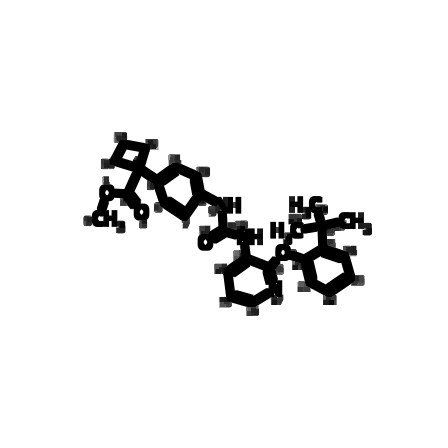 COC(=O)C1(c2ccc(NC(=O)Nc3cccnc3Oc3ccccc3C(C)(C)C)cc2)CCC1